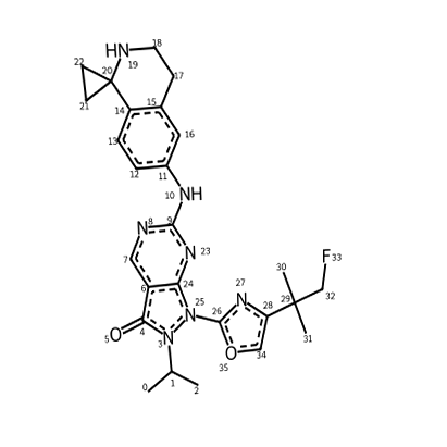 CC(C)n1c(=O)c2cnc(Nc3ccc4c(c3)CCNC43CC3)nc2n1-c1nc(C(C)(C)CF)co1